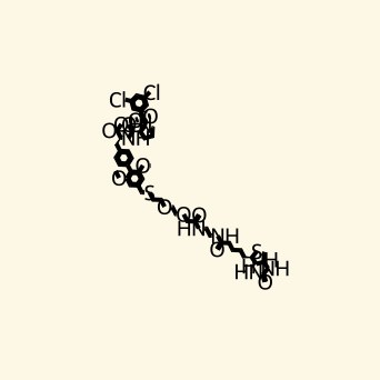 COc1cc(CSCCOCCOCC(=O)NCCNC(=O)CCCC[C@H]2SC[C@H]3NC(=O)N[C@H]32)cc(OC)c1-c1ccc(C[C@H](NC(=O)[C@@H]2CCCN2S(=O)(=O)c2cc(Cl)cc(Cl)c2)C(=O)O)cc1